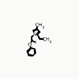 CCc1cc(C)cn1CC(I)Oc1ccccc1